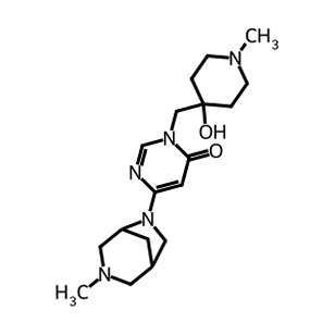 CN1CCC(O)(Cn2cnc(N3CC4CC3CN(C)C4)cc2=O)CC1